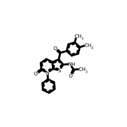 CC(=O)Nc1sc2c(ccc(=O)n2-c2ccccc2)c1C(=O)c1ccc(C)c(C)c1